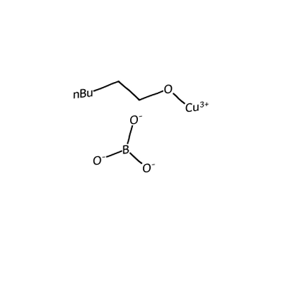 CCCCCC[O][Cu+3].[O-]B([O-])[O-]